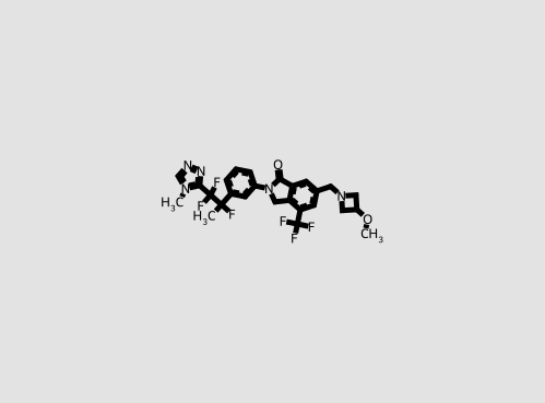 COC1CN(Cc2cc3c(c(C(F)(F)F)c2)CN(c2cccc(C(C)(F)C(F)(F)c4nncn4C)c2)C3=O)C1